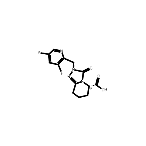 O=C(O)[C@@H]1CCCc2nn(Cc3ncc(F)cc3F)c(=O)n21